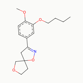 CCCCOc1cc(C2=NOC3(CCOC3)C2)ccc1OC